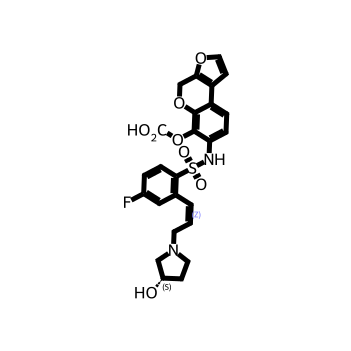 O=C(O)Oc1c(NS(=O)(=O)c2ccc(F)cc2/C=C\CN2CC[C@H](O)C2)ccc2c1OCc1occc1-2